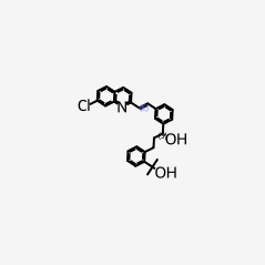 CC(C)(O)c1ccccc1CC[C@H](O)c1cccc(/C=C/c2ccc3ccc(Cl)cc3n2)c1